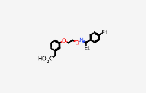 CC/C(=N\OCCOc1cccc(CC(=O)O)c1)c1ccc(CC)cc1